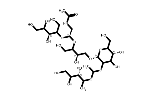 CC(=O)NC[C@H](OC(CO)[C@@H](O)C(O)CO)OC(CO)[C@H](O)CO[C@@H]1OC(CO)[C@H](O)C(O)C1OC(C)OC(C)[C@@H](O)C(O)CO